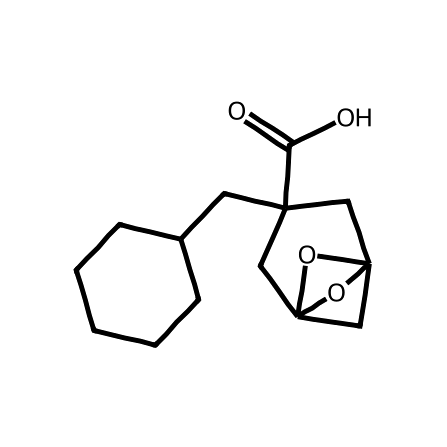 O=C(O)C1(CC2CCCCC2)CC23CC(C1)(O2)O3